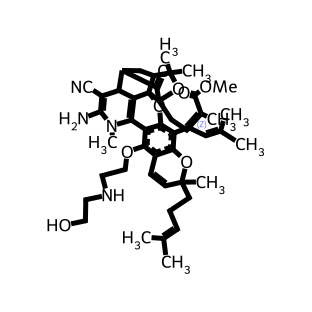 COC(=O)/C(C)=C\CC12OC(C)(C)C3CC(C1=O)C1C(C#N)=C(N)N(C)C4=C1C32Oc1c(CC=C(C)C)c2c(c(OCCNCCO)c14)C=CC(C)(CCC=C(C)C)O2